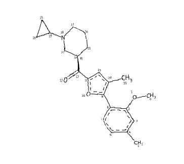 COc1cc(C)ccc1-c1oc(C(=O)[C@@H]2CCCN(C3CC3)C2)cc1C